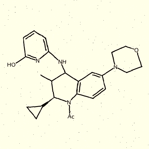 CC(=O)N1c2ccc(N3CCOCC3)cc2C(Nc2cccc(O)n2)C(C)[C@@H]1C1CC1